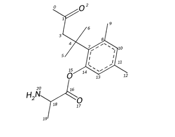 CC(=O)CC(C)(C)c1c(C)cc(C)cc1OC(=O)C(C)N